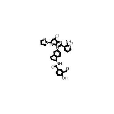 Nc1ncccc1-c1nc2c(Cl)cc(-n3cccn3)nc2n1-c1ccc2c(c1)CC[C@@H]2NC(=O)c1ccc(O)c(C=O)c1